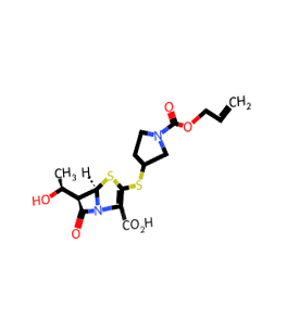 C=CCOC(=O)N1CCC(SC2=C(C(=O)O)N3C(=O)[C@@H]([C@H](C)O)[C@H]3S2)C1